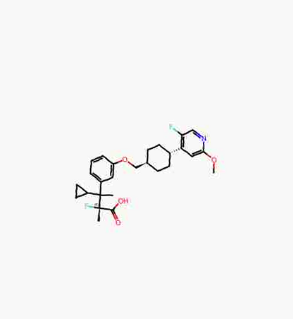 COc1cc([C@H]2CC[C@H](COc3cccc(C(C)(C4CC4)[C@@](C)(F)C(=O)O)c3)CC2)c(F)cn1